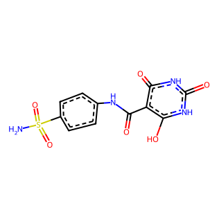 NS(=O)(=O)c1ccc(NC(=O)c2c(O)[nH]c(=O)[nH]c2=O)cc1